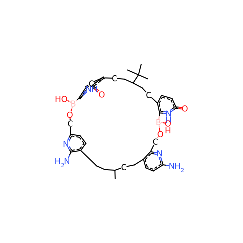 CC1CCc2ccc(nc2N)COB(O)c2ccc(c(=O)[nH]2)CCC(C(C)(C)C)CCc2ccc(=O)[nH]c2B(O)OCc2nc(N)ccc2CC1